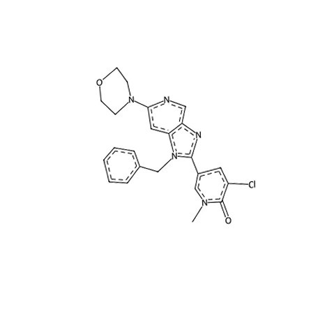 Cn1cc(-c2nc3cnc(N4CCOCC4)cc3n2Cc2ccccc2)cc(Cl)c1=O